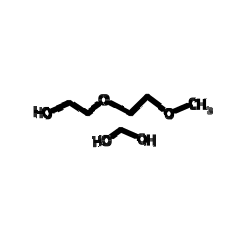 COCCOCCO.OCO